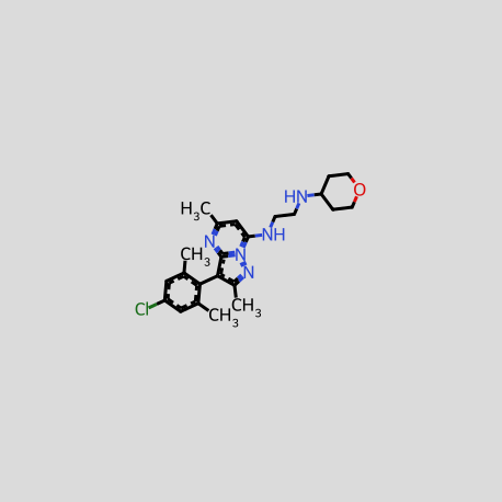 Cc1cc(NCCNC2CCOCC2)n2nc(C)c(-c3c(C)cc(Cl)cc3C)c2n1